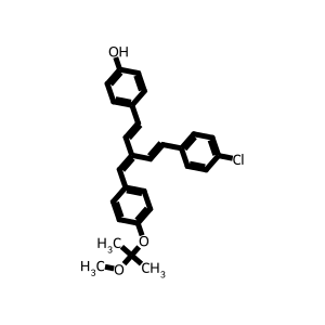 COC(C)(C)Oc1ccc(C=C(C=Cc2ccc(O)cc2)C=Cc2ccc(Cl)cc2)cc1